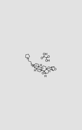 C[C@]12CC[C@H](SCCN3CCCC3)C[C@@H]1CC[C@@H]1[C@@H]2CC[C@]2(C)[C@@H](c3ccoc3)C[C@H]3O[C@]132.O=C(O)C(=O)O